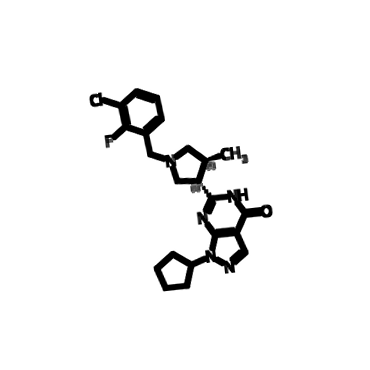 C[C@@H]1CN(Cc2cccc(Cl)c2F)C[C@H]1c1nc2c(cnn2C2CCCC2)c(=O)[nH]1